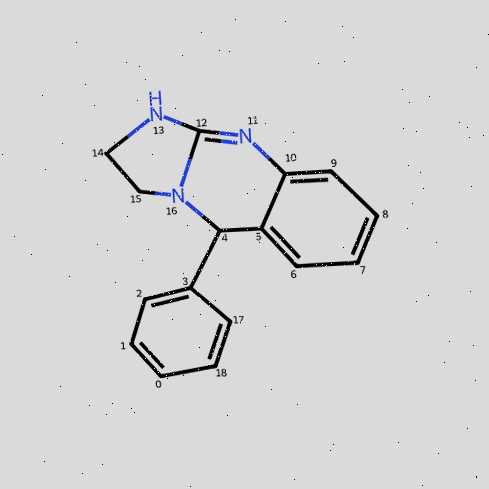 c1ccc(C2c3ccccc3N=C3NCCN32)cc1